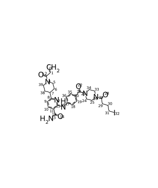 C=CC(=O)N1CCC(c2ccc(C(N)=O)c(Nc3ccc(C(=O)N4CCN(C(=O)CCCI)CC4)cc3)n2)CC1